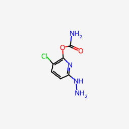 NNc1ccc(Cl)c(OC(N)=O)n1